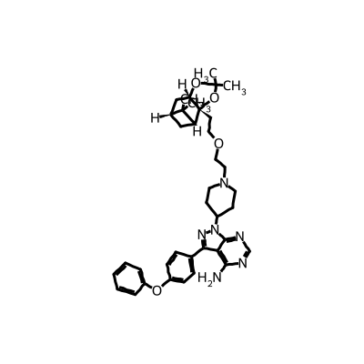 CC1(C)O[C@H]2C[C@H]3C[C@H](C3(C)C)[C@@]2(CCOCCN2CCC(n3nc(-c4ccc(Oc5ccccc5)cc4)c4c(N)ncnc43)CC2)O1